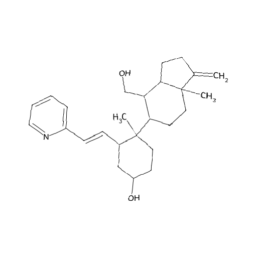 C=C1CCC2C(CO)C(C3(C)CCC(O)CC3C=Cc3ccccn3)CCC12C